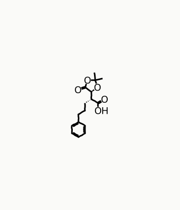 CC1(C)OC(=O)[C@H]([C@@H](CCCc2ccccc2)C(=O)O)O1